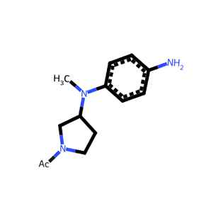 CC(=O)N1CCC(N(C)c2ccc(N)cc2)C1